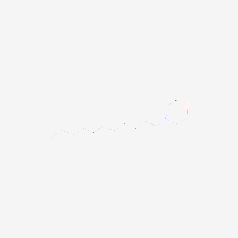 [CH2]CCCCCCCCCCN1CCOCC1